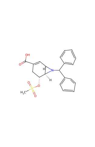 CS(=O)(=O)O[C@@H]1CC(C(=O)O)=C[C@@H]2[C@H]1N2C(c1ccccc1)c1ccccc1